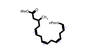 CCCCC/C=C\C/C=C\C/C=C\C/C=C\CC(C)CC(=O)OC